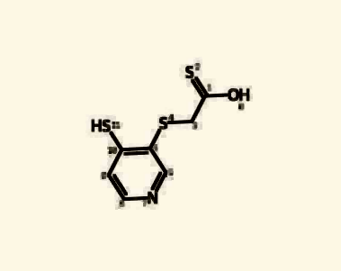 OC(=S)CSc1[c]nccc1S